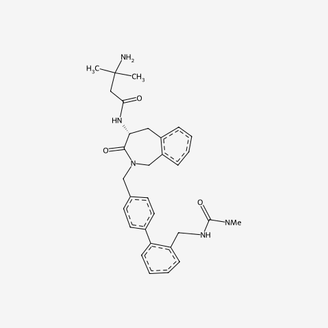 CNC(=O)NCc1ccccc1-c1ccc(CN2Cc3ccccc3C[C@@H](NC(=O)CC(C)(C)N)C2=O)cc1